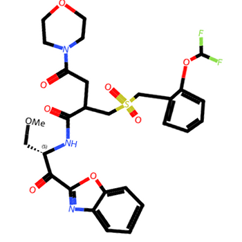 COC[C@H](NC(=O)C(CC(=O)N1CCOCC1)CS(=O)(=O)Cc1ccccc1OC(F)F)C(=O)c1nc2ccccc2o1